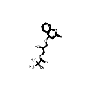 CCC(C)(C)C(=O)OCC(O)COc1cc(=O)oc2ccccc12